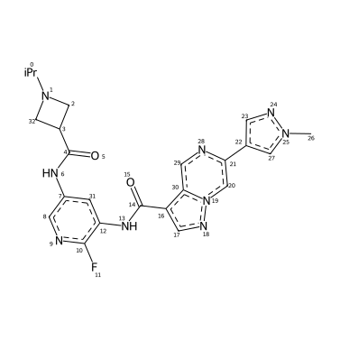 CC(C)N1CC(C(=O)Nc2cnc(F)c(NC(=O)c3cnn4cc(-c5cnn(C)c5)ncc34)c2)C1